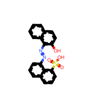 O=S(=O)(O)c1cccc2cccc(/N=N/c3c(O)ccc4ccccc34)c12